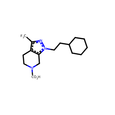 O=C(O)N1CCc2c(C(F)(F)F)nn(CCC3CCCCC3)c2C1